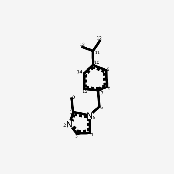 Cc1nccn1Cc1ccc(C(C)C)cc1